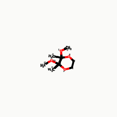 COC1(C)OCCOC1(C)OC